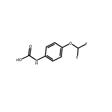 O=C(O)Nc1ccc(OC(F)F)cc1